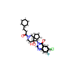 O=C(CCC1CCCCC1)N1CCC(O)(Cn2cnc3cc(F)c(Cl)cc3c2=O)C2(CCCC2)C1